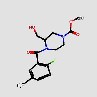 CC(C)(C)OC(=O)N1CCN(C(=O)c2cc(C(F)(F)F)ccc2F)C(CO)C1